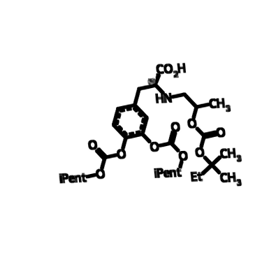 CCCC(C)OC(=O)Oc1ccc(C[C@H](NCC(C)OC(=O)OC(C)(C)CC)C(=O)O)cc1OC(=O)OC(C)CCC